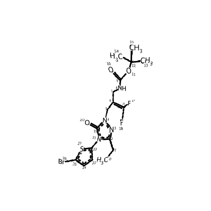 CCc1nn(CC(CNC(=O)OC(C)(C)C)=C(F)F)c(=O)n1-c1ccc(Br)s1